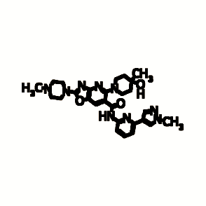 CN1CCN(c2nc3nc(N4CCC(C)(O)CC4)c(C(=O)Nc4cccc(-c5cnn(C)c5)n4)cc3o2)CC1